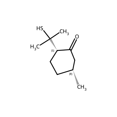 C[C@@H]1CC[C@H](C(C)(C)S)C(=O)C1